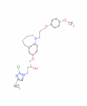 O=[N+]([O-])c1cn(CCC(O)COc2ccc3c(c2)CCCCN3CCCOc2ccc(OC(F)(F)F)cc2)c(Cl)n1